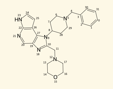 c1ccc(CN2CCC(n3c(CN4CCOCC4)nc4cnc5[nH]ccc5c43)CC2)cc1